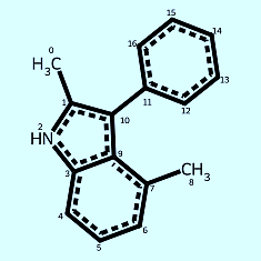 Cc1[nH]c2cccc(C)c2c1-c1ccccc1